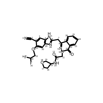 N#Cc1cc2[nH]c(Cc3nn(CC(=O)NC4CCOC4)c(=O)c4ccccc34)nc2cc1OCC(F)F